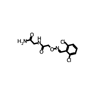 NC(=O)CNC(=O)CON=Cc1c(Cl)cccc1Cl